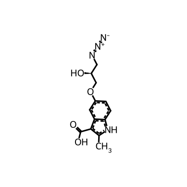 Cc1[nH]c2ccc(OC[C@@H](O)CN=[N+]=[N-])cc2c1C(=O)O